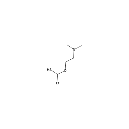 CCC(S)OCCN(C)C